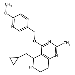 COc1ccc(COc2nc(C)nc3c2C(CC2CC2)NCC3)cn1